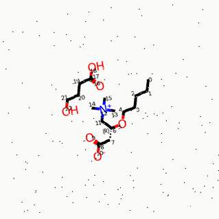 CCCCCO[C@H](CC(=O)[O-])C[N+](C)(C)C.O=C(O)CCCO